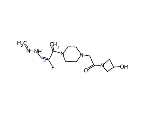 C=NN/C=C(/F)C(=C)N1CCN(CC(=O)N2CC(O)C2)CC1